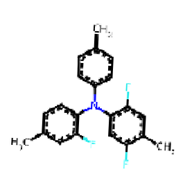 Cc1ccc(N(c2ccc(C)cc2F)c2cc(F)c(C)cc2F)cc1